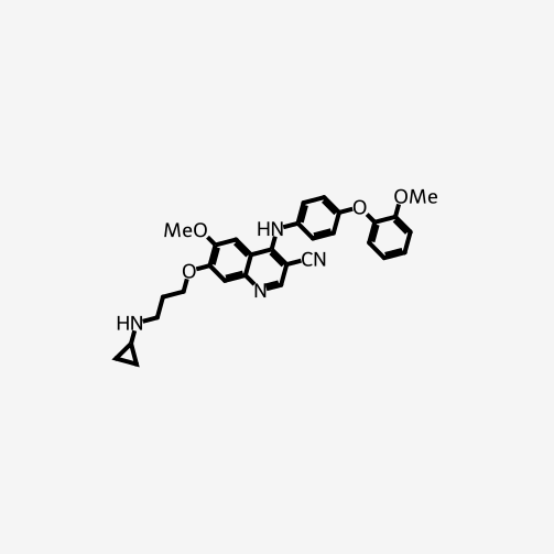 COc1cc2c(Nc3ccc(Oc4ccccc4OC)cc3)c(C#N)cnc2cc1OCCCNC1CC1